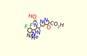 CNc1cc(F)c(F)c2c1[nH]c1ncc(-c3cnc4c(c3)c(=O)c(C(=O)O)cn4C)c(N3CC[C@H](CO)C3)c12